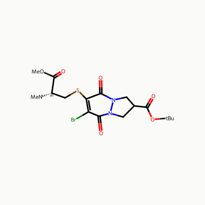 CN[C@@H](CSc1c(Br)c(=O)n2n(c1=O)CC(C(=O)OC(C)(C)C)C2)C(=O)OC